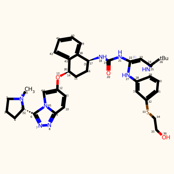 CN1CCC[C@H]1c1nnc2ccc(O[C@@H]3CC[C@H](NC(=O)N/C(=C/C(=N)C(C)(C)C)Nc4cccc(SCCO)c4)c4ccccc43)cn12